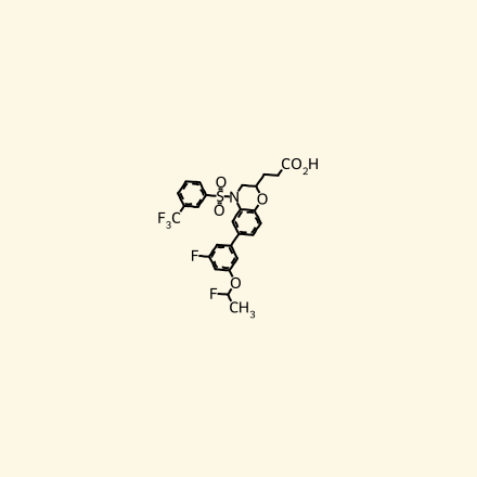 CC(F)Oc1cc(F)cc(-c2ccc3c(c2)N(S(=O)(=O)c2cccc(C(F)(F)F)c2)CC(CCC(=O)O)O3)c1